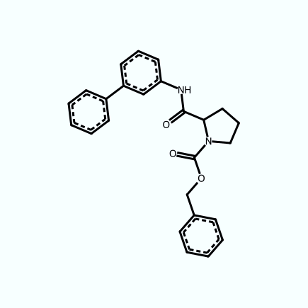 O=C(Nc1cccc(-c2ccccc2)c1)C1CCCN1C(=O)OCc1ccccc1